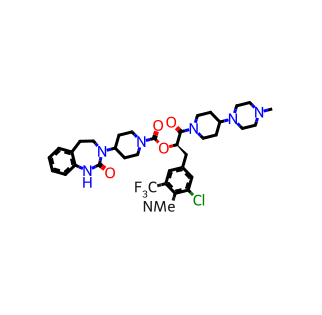 CNc1c(Cl)cc(C[C@@H](OC(=O)N2CCC(N3CCc4ccccc4NC3=O)CC2)C(=O)N2CCC(N3CCN(C)CC3)CC2)cc1C(F)(F)F